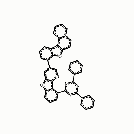 c1ccc(-c2nc(-c3ccccc3)nc(-c3cccc4oc5cc(-c6cccc7c6oc6ccc8ccccc8c67)cnc5c34)n2)cc1